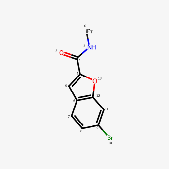 CC(C)NC(=O)c1cc2ccc(Br)cc2o1